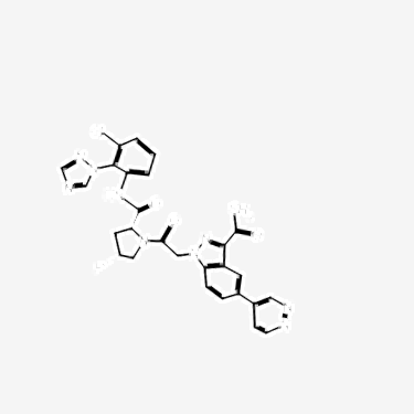 CC(=O)c1nn(CC(=O)N2C[C@H](F)C[C@H]2C(=O)Nc2cccc(Cl)c2-n2cncn2)c2ccc(-c3ccnnc3)cc12